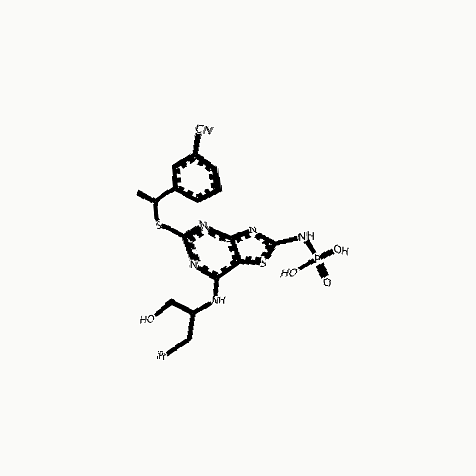 CC(C)CC(CO)Nc1nc(SC(C)c2cccc(C#N)c2)nc2nc(NP(=O)(O)O)sc12